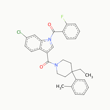 CCC1(c2ccccc2C)CCN(C(=O)c2cn(C(=O)c3ccccc3F)c3cc(Cl)ccc23)CC1